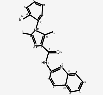 Cc1nc(C(=O)Nc2ccc3ccccc3n2)c(C)n1-c1ccccc1Br